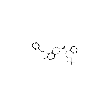 O=C(C(OC1CC(F)(F)C1)c1ccccc1)N1CCc2c(ccc(Cl)c2OCc2ccccc2)C1